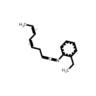 C/C=C\C=C/CC=C=Nc1ccccc1CC